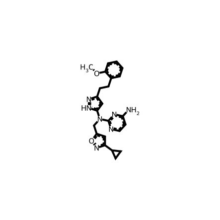 COc1ccccc1CCc1cc(N(Cc2cc(C3CC3)no2)c2nccc(N)n2)[nH]n1